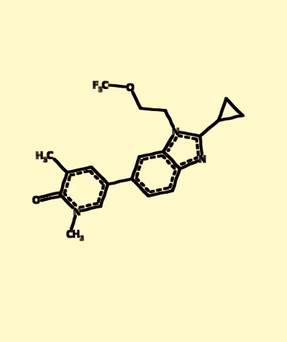 Cc1cc(-c2ccc3nc(C4CC4)n(CCOC(F)(F)F)c3c2)cn(C)c1=O